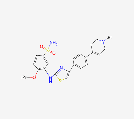 CCN1CC=C(c2ccc(-c3csc(Nc4cc(S(N)(=O)=O)ccc4OC(C)C)n3)cc2)CC1